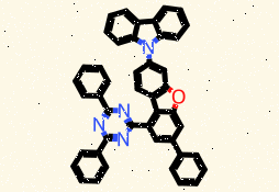 c1ccc(-c2cc(-c3nc(-c4ccccc4)nc(-c4ccccc4)n3)c3c(c2)oc2cc(-n4c5ccccc5c5ccccc54)ccc23)cc1